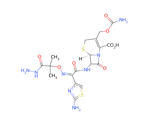 CC(C)(O/N=C(\C(=O)NC1C(=O)N2C(C(=O)O)=C(COC(N)=O)CS[C@H]12)c1csc(N)n1)C(=O)NN